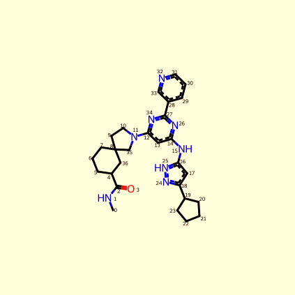 CNC(=O)C1CCCC2(CCN(c3cc(Nc4cc(C5CCCC5)n[nH]4)nc(-c4cccnc4)n3)C2)C1